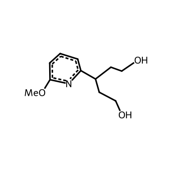 COc1cccc(C(CCO)CCO)n1